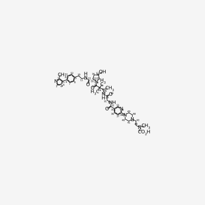 Cc1ncsc1-c1ccc(CCNC(=O)[C@@H]2C[C@@H](O)CN2C(=O)C(C)(C)[C@H](C)NC(=O)CNC(=O)c2ccc(N3CCN(CCN(C)C(=O)O)CC3)nc2)cc1